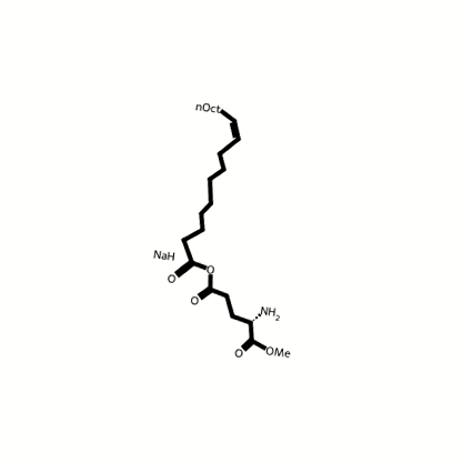 CCCCCCCC/C=C\CCCCCCCC(=O)OC(=O)CC[C@H](N)C(=O)OC.[NaH]